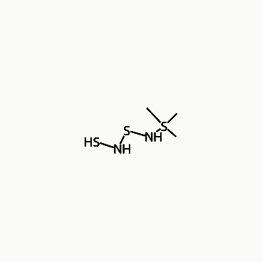 CS(C)(C)NSNS